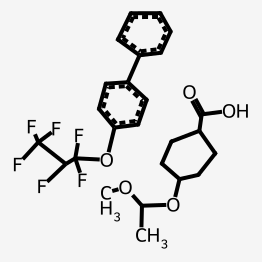 COC(C)OC1CCC(C(=O)O)CC1.FC(C(F)(F)F)C(F)(F)Oc1ccc(-c2ccccc2)cc1